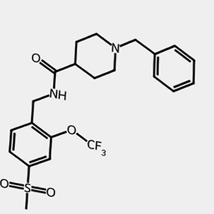 CS(=O)(=O)c1ccc(CNC(=O)C2CCN(Cc3ccccc3)CC2)c(OC(F)(F)F)c1